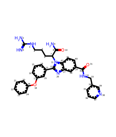 N=C(N)NCCCC(C(N)=O)n1c(-c2cccc(Oc3ccccc3)c2)nc2cc(C(=O)NCc3cccnc3)ccc21